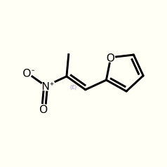 C/C(=C\c1ccco1)[N+](=O)[O-]